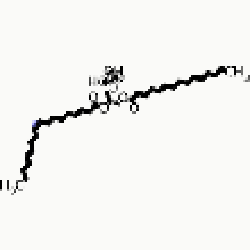 CCCCCCCC/C=C\CCCCCCCC(=O)O[C@H](COC(=O)CCCCCCCCCCCCCC)COP(=O)(O)O